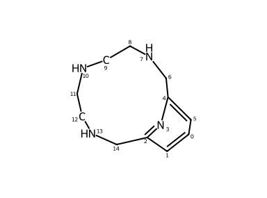 c1cc2nc(c1)CNCCNCCNC2